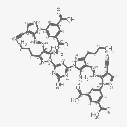 CCCCc1nn(-c2nc(O)nc(-n3nc(CCCC)c(/N=N/c4c(C#N)cnn4-c4cc(C(=O)O)cc(C(=O)O)c4)c3N)n2)c(N)c1/N=N/c1c(C#N)cnn1-c1cc(C(=O)O)cc(C(=O)O)c1